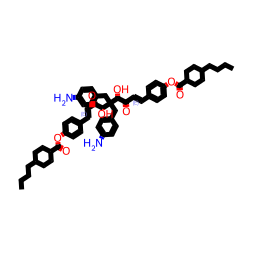 CCCCC1CCC(C(=O)Oc2ccc(/C=C/C(=O)C(O)C(Cc3ccc(N)cc3)(Cc3ccc(N)cc3)C(O)C(=O)/C=C/c3ccc(OC(=O)C4CCC(CCCC)CC4)cc3)cc2)CC1